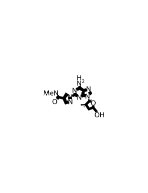 CNC(=O)c1cnn(-c2nc(N)c3ncn([C@@H]4OC(CO)C[C@H]4C)c3n2)c1